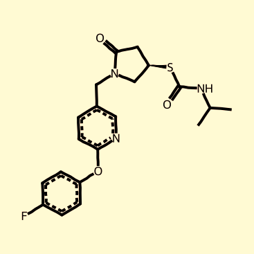 CC(C)NC(=O)S[C@@H]1CC(=O)N(Cc2ccc(Oc3ccc(F)cc3)nc2)C1